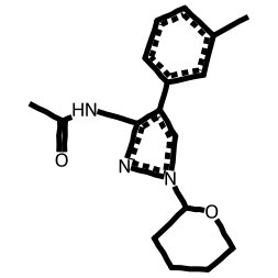 CC(=O)Nc1nn(C2CCCCO2)cc1-c1cccc(C)c1